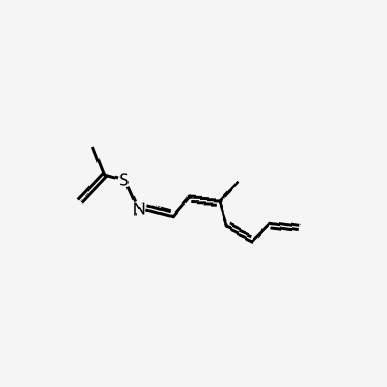 C=C\C=C/C(C)=C\C=N/SC(=C)C